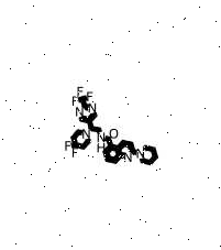 O=C(NCC(c1cnc(C(F)(F)F)nc1)N1CCC(F)(F)CC1)c1cccc2nc(N3CCCCC3)ccc12